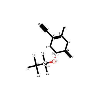 C#CC1=C(C)CC(=C)[C@H](O[Si](C)(C)C(C)(C)C)C1